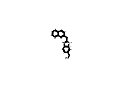 CC(C)Cc1ccc2nc(Cc3ccc4ccccc4c3)sc2c1